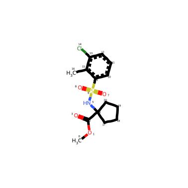 COC(=O)C1(NS(=O)(=O)c2cccc(Cl)c2C)CCCC1